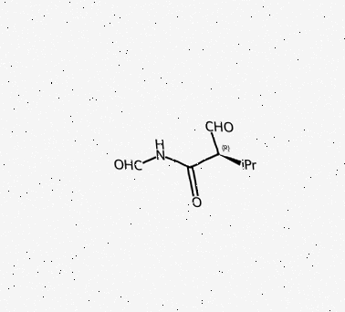 CC(C)[C@H](C=O)C(=O)NC=O